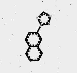 [c]1c(-n2ncnn2)ccc2ccccc12